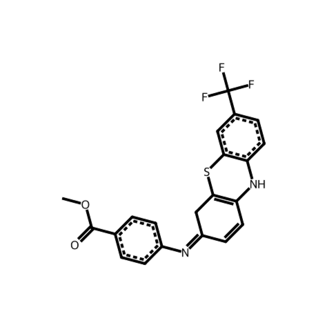 COC(=O)c1ccc(N=C2C=CC3=C(C2)Sc2cc(C(F)(F)F)ccc2N3)cc1